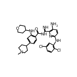 CN1CCC(c2ccc(C(=O)NC(=N)c3nc(Nc4cc(Cl)ccc4Cl)ccc3N)c(NC3CCOCC3)c2)CC1